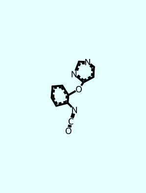 O=C=Nc1ccccc1Oc1ccncn1